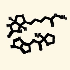 CC1(C(=O)Oc2scc3[nH]cnc23)CCCO1.COC(=O)CCCC[C@@H]1SC[C@@H]2NC(=O)N[C@@H]21